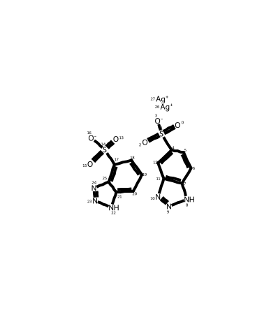 O=S(=O)([O-])c1ccc2[nH]nnc2c1.O=S(=O)([O-])c1cccc2[nH]nnc12.[Ag+].[Ag+]